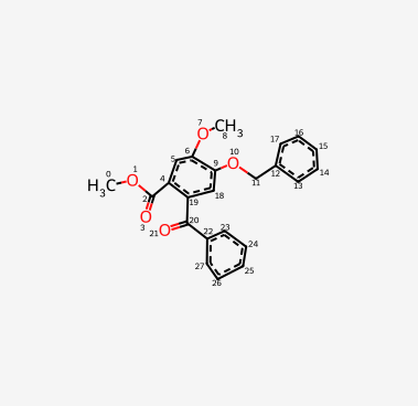 COC(=O)c1cc(OC)c(OCc2ccccc2)cc1C(=O)c1ccccc1